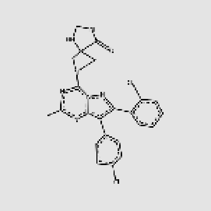 Cc1nc(N2CC3(C2)NCNC3=O)n2nc(-c3ccccc3Cl)c(-c3ccc(Cl)cc3)c2n1